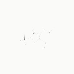 CCCN1C(=O)N(C(C)(C)C)CC1CC